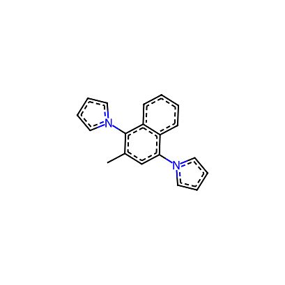 Cc1cc(-n2cccc2)c2ccccc2c1-n1cccc1